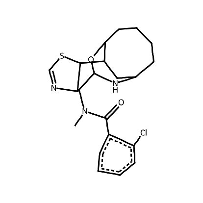 CN(CC1NC2CCCCC(O1)C(C1CN=CS1)C2)C(=O)c1ccccc1Cl